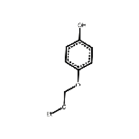 CCOCOc1ccc(O)cc1